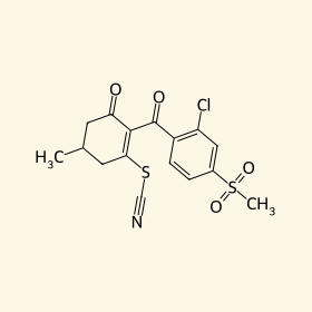 CC1CC(=O)C(C(=O)c2ccc(S(C)(=O)=O)cc2Cl)=C(SC#N)C1